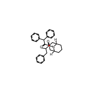 CC(Cc1ccccc1)C(=O)N1[C@@H]2CCC[C@H]1CN(C(=O)C(c1ccccc1)c1ccccc1)C2